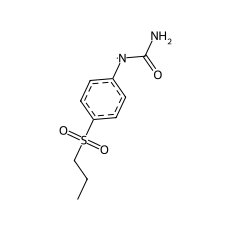 CCCS(=O)(=O)c1ccc([N]C(N)=O)cc1